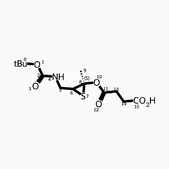 CC(C)(C)OC(=O)NCC1S[C@]1(C)OC(=O)CCC(=O)O